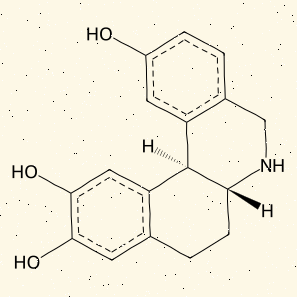 Oc1ccc2c(c1)[C@@H]1c3cc(O)c(O)cc3CC[C@H]1NC2